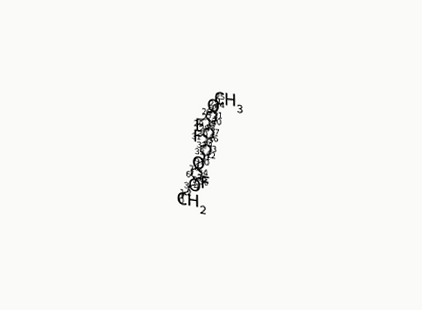 C=CCCOc1ccc(OCc2ccc(-c3ccc(-c4ccc(OCC)cc4)c(F)c3F)cc2)cc1F